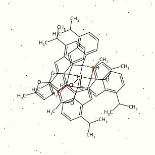 Cc1ccc(C2=Cc3c(C(C)C)cccc3[C]23[SiH](C)[C]2(C(c4ccc(C)o4)=Cc4c(C(C)C)cccc42)[Hf]32([Cl])([Cl])[C]3(C(c4ccc(C)o4)=Cc4c(C(C)C)cccc43)[SiH](C)[C]23C(c2ccc(C)o2)=Cc2c(C(C)C)cccc23)o1